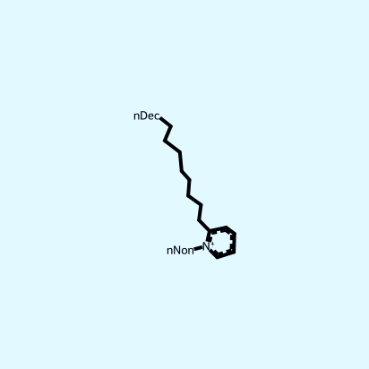 CCCCCCCCCCCCCCCCCCc1cccc[n+]1CCCCCCCCC